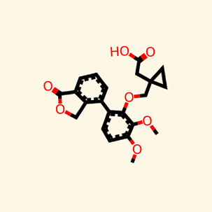 COc1ccc(-c2cccc3c2COC3=O)c(OCC2(CC(=O)O)CC2)c1OC